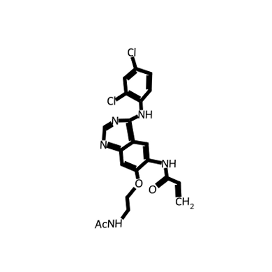 C=CC(=O)Nc1cc2c(Nc3ccc(Cl)cc3Cl)ncnc2cc1OCCNC(C)=O